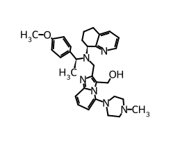 COc1ccc([C@H](C)N(Cc2nc3cccc(N4CCN(C)CC4)n3c2CO)[C@H]2CCCc3cccnc32)cc1